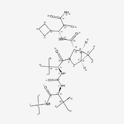 CC(C)(C)NC(=O)[C@@H](NC(=O)N[C@H](C(=O)N1C[C@H]2[C@@H]([C@H]1C(=O)NC(C(=O)C(N)=O)C1CCC1)C2(C)C)C(C)(C)C)C(C)(C)C